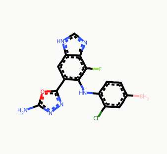 Bc1ccc(Nc2c(-c3nnc(N)o3)cc3[nH]cnc3c2F)c(Cl)c1